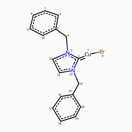 [Br][Cu]=[c]1n(Cc2ccccc2)ccn1Cc1ccccc1